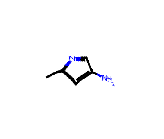 CC1C=C(N)C=N1